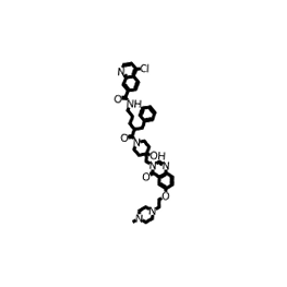 CN1CCN(CCOc2ccc3ncn(CC4(O)CCN(C(=O)C(CCCNC(=O)c5ccc6c(Cl)ccnc6c5)Cc5ccccc5)CC4)c(=O)c3c2)CC1